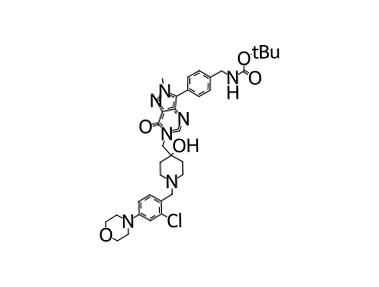 Cn1nc2c(=O)n(CC3(O)CCN(Cc4ccc(N5CCOCC5)cc4Cl)CC3)cnc2c1-c1ccc(CNC(=O)OC(C)(C)C)cc1